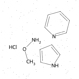 CON.Cl.c1cc[nH]c1.c1ccncc1